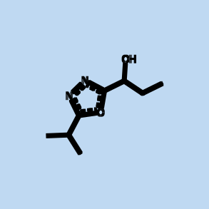 CCC(O)c1nnc(C(C)C)o1